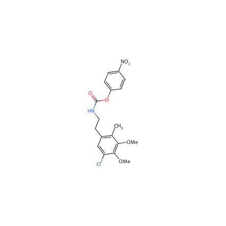 COc1c(Cl)cc(CCNC(=O)Oc2ccc([N+](=O)[O-])cc2)c(C)c1OC